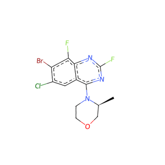 C[C@H]1COCCN1c1nc(F)nc2c(F)c(Br)c(Cl)cc12